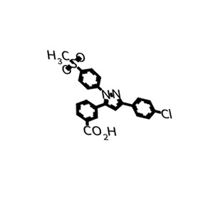 CS(=O)(=O)c1ccc(-n2nc(-c3ccc(Cl)cc3)cc2-c2cccc(C(=O)O)c2)cc1